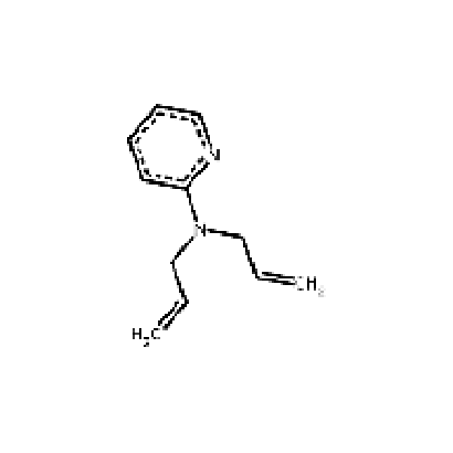 C=CCN(CC=C)c1ccccn1